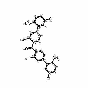 Nc1ccc(Cl)cc1-c1ccc(C(=O)c2ccc(-c3cc(Cl)ccc3N)cc2F)c(F)c1